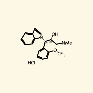 CNC[C@@H](O)[C@H](c1ccccc1OC(F)(F)F)n1ccc2ccccc21.Cl